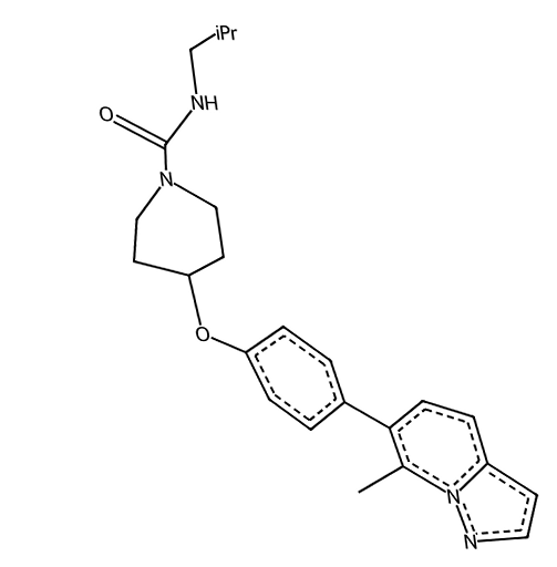 Cc1c(-c2ccc(OC3CCN(C(=O)NCC(C)C)CC3)cc2)ccc2ccnn12